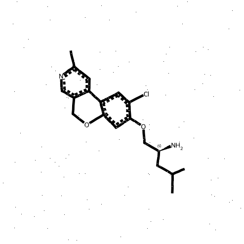 Cc1cc2c(cn1)COc1cc(OC[C@@H](N)CC(C)C)c(Cl)cc1-2